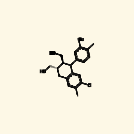 Cc1cc2c(cc1Cl)C(c1ccc(C)c(C(C)(C)C)c1)[C@H](CO)[C@@H](CO)C2